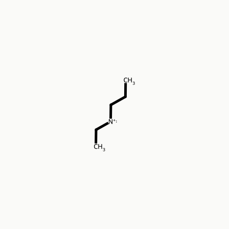 CCC[N+]CC